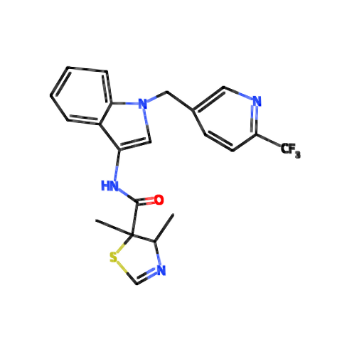 CC1N=CSC1(C)C(=O)Nc1cn(Cc2ccc(C(F)(F)F)nc2)c2ccccc12